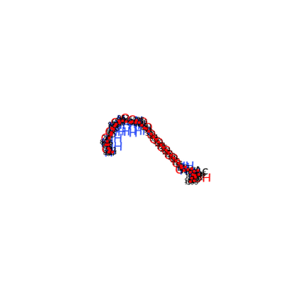 CC(=O)N1c2ccc(-c3cnc(C(=O)NCCOCCOCCOCCOCCOCCOCCOCCOCCNC(=O)CCNC(=O)c4nc(NC(=O)CCNC(=O)c5cc(NC(=O)c6nc(NC(=O)CCNC(=O)c7cc(NC(=O)c8nccn8C)cn7C)cn6C)cn5C)cn4C)nc3)cc2N(Cc2ccccc2CO)C[C@@H]1C1CC1